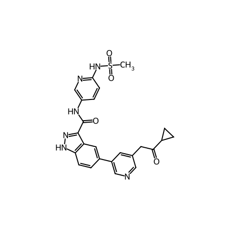 CS(=O)(=O)Nc1ccc(NC(=O)c2n[nH]c3ccc(-c4cncc(CC(=O)C5CC5)c4)cc23)cn1